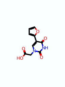 O=C(O)Cn1cc(-c2ccco2)c(=O)[nH]c1=O